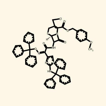 COc1ccc(COC(=O)C2=C(CCl)CS[C@@H]3C(NC(=O)/C(=N\OC(c4ccccc4)(c4ccccc4)c4ccccc4)c4csc(NC(c5ccccc5)(c5ccccc5)c5ccccc5)n4)C(=O)N23)cc1